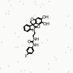 O=C(NCCN1C(=O)C2(COc3cc(O)c(O)cc32)c2ccccc21)Nc1ccc(F)cc1